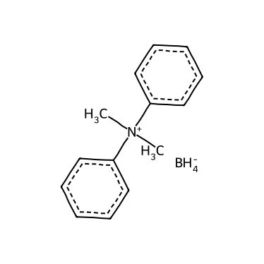 C[N+](C)(c1ccccc1)c1ccccc1.[BH4-]